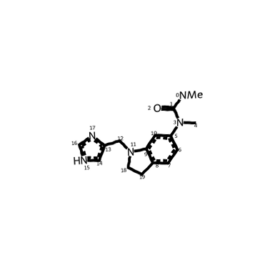 CNC(=O)N(C)c1ccc2c(c1)N(Cc1c[nH]cn1)CC2